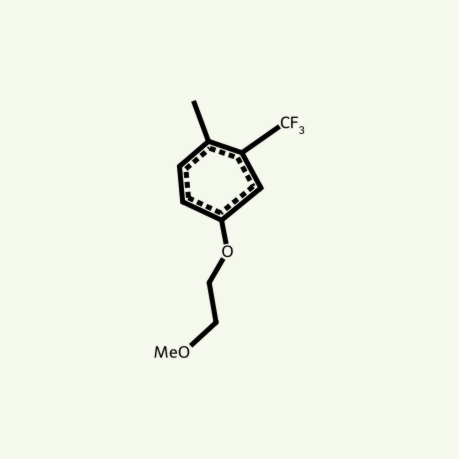 COCCOc1ccc(C)c(C(F)(F)F)c1